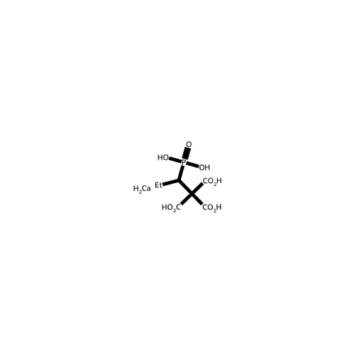 CCC(C(C(=O)O)(C(=O)O)C(=O)O)P(=O)(O)O.[CaH2]